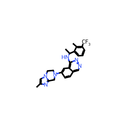 Cc1cn2c(n1)CN(c1ccc3cnnc(NC(C)c4cccc(C(F)(F)F)c4C)c3c1)CC2